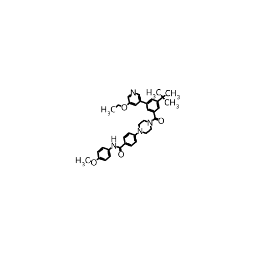 CCOc1cncc(-c2cc(C(=O)N3CCN(c4ccc(C(=O)Nc5ccc(OC)cc5)cc4)CC3)cc(C(C)(C)C)c2)c1